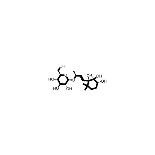 C[C@@H](/C=C/[C@]1(O)C(C)(C)CC[C@@H](O)[C@]1(C)O)O[C@@H]1O[C@H](CO)[C@@H](O)[C@H](O)[C@H]1O